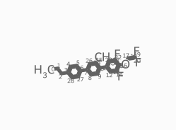 CCCc1ccc(-c2ccc(-c3cc(F)c(OC=C(F)F)c(F)c3)c(C)c2)cc1